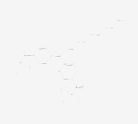 C=C(c1ccc(C(OCCOCCOCCO)c2ccc(C(=O)C(C)(C)O)cc2)cc1)C(C)(C)O